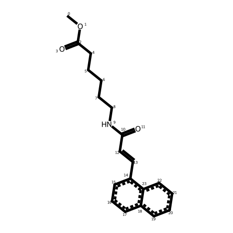 COC(=O)CCCCCNC(=O)C=Cc1cccc2ccccc12